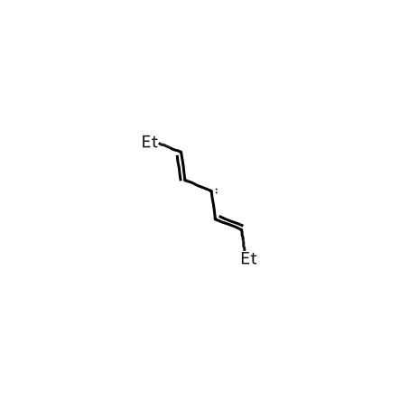 CCC=C[C]C=CCC